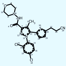 Cc1c(C(=O)NN2CCOCC2)nn(-c2ccc(Cl)cc2Cl)c1-c1ccc(CCC#N)s1